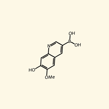 COc1cc2cc(B(O)O)cnc2cc1O